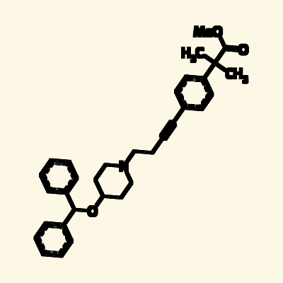 COC(=O)C(C)(C)c1ccc(C#CCCN2CCC(OC(c3ccccc3)c3ccccc3)CC2)cc1